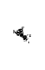 Cc1cc(F)ccc1[C@H]1CC(C[N+](=O)[O-])CCN1C(=O)C(C)(N)[C@H](C)c1cc(C(F)(F)F)cc(C(F)(F)F)c1